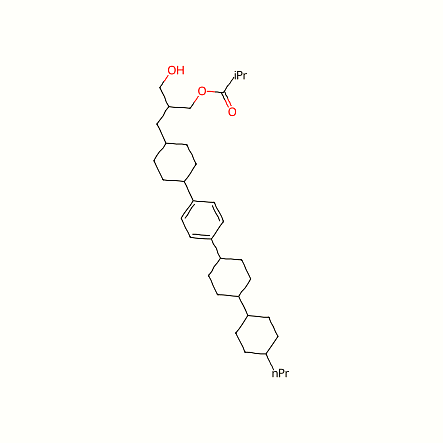 CCCC1CCC(C2CCC(c3ccc(C4CCC(CC(CO)COC(=O)C(C)C)CC4)cc3)CC2)CC1